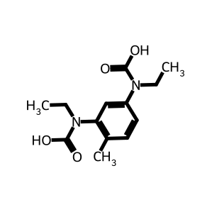 CCN(C(=O)O)c1ccc(C)c(N(CC)C(=O)O)c1